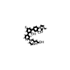 Cn1ccn(-c2ccc(-c3cc(F)cc(-c4ccnc(N5CCNC(CCO)C5)c4)c3O)cc2Cl)c1=O